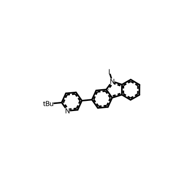 CC(C)(C)c1ccc(-c2ccc3c4ccccc4n(I)c3c2)cn1